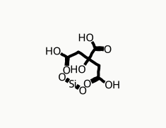 O=C(O)CC(O)(CC(=O)O)C(=O)O.O=[Si]=O